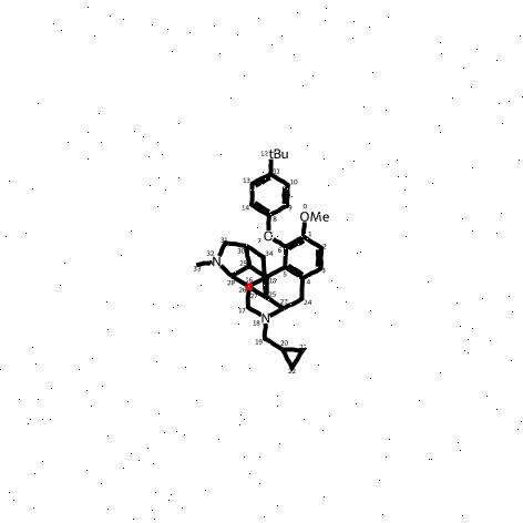 COc1ccc2c(c1Oc1ccc(C(C)(C)C)cc1)C13CCN(CC4CC4)C(C2)C12CCC1C3C(CN1C)C2